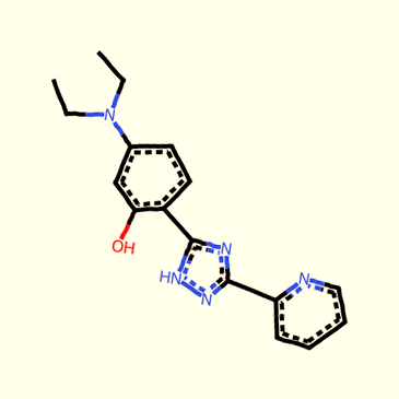 CCN(CC)c1ccc(-c2nc(-c3ccccn3)n[nH]2)c(O)c1